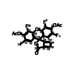 CC(=O)Oc1c(F)cc2c(c1F)Oc1c(cc(F)c(OC(C)=O)c1F)C21OC(=O)c2ccccc21